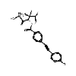 CC(N)(C(F)F)[C@H](NC(=O)c1ccc(C#Cc2ccc(Cl)cc2)cc1)C(=O)NO